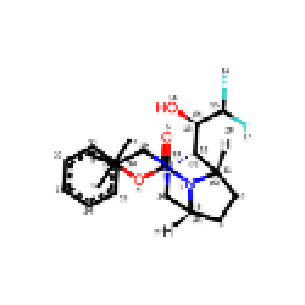 CC(C)(C)OC(=O)N1[C@@H]2CC[C@H]1[C@@H]([C@@H](O)C(F)F)N(Cc1ccccc1)C2